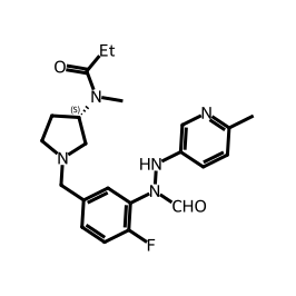 CCC(=O)N(C)[C@H]1CCN(Cc2ccc(F)c(N(C=O)Nc3ccc(C)nc3)c2)C1